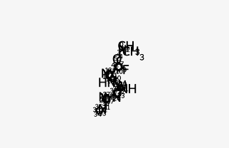 CN(C)CCOc1cc(F)cc(-c2cncc3[nH]c(-c4n[nH]c5cnc(-c6cncc(CN7CCCC7)c6)cc45)cc23)c1